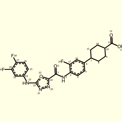 O=C(Nc1ccc(C2CCC(C(=O)O)CC2)cc1F)c1nnc(Nc2ccc(F)c(F)c2)o1